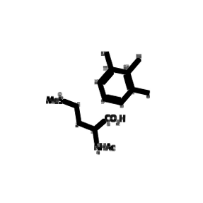 CSCCC(NC(C)=O)C(=O)O.Cc1cccc(C)c1C